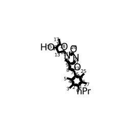 CCCc1c(C)c(C)c(-c2cc3cn(C4C[C@@H](O)C(C)O4)c(=O)nc3o2)c(C)c1C